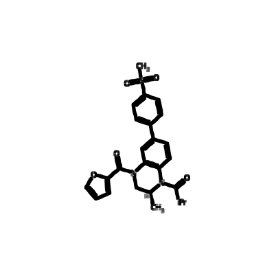 CC(C)C(=O)N1c2ccc(-c3ccc(S(C)(=O)=O)cc3)cc2N(C(=O)c2ccco2)C[C@@H]1C